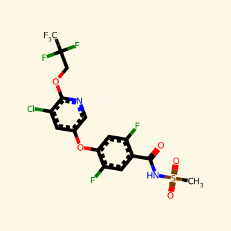 CS(=O)(=O)NC(=O)c1cc(F)c(Oc2cnc(OCC(F)(F)C(F)(F)F)c(Cl)c2)cc1F